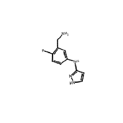 NCc1cc(Nc2cc[nH]n2)ccc1F